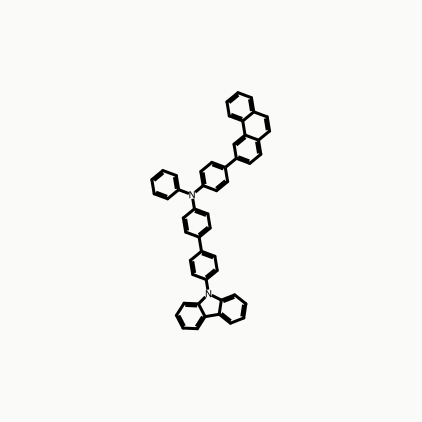 c1ccc(N(c2ccc(-c3ccc(-n4c5ccccc5c5ccccc54)cc3)cc2)c2ccc(-c3ccc4ccc5ccccc5c4c3)cc2)cc1